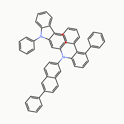 c1ccc(-c2ccc3cc(N(c4ccc5c6ccccc6n(-c6ccccc6)c5c4)c4cccc(-c5ccccc5)c4-c4ccccc4)ccc3c2)cc1